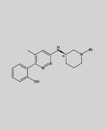 Cc1cc(N[C@@H]2CCCN(C(C)C)C2)nnc1-c1ccccc1O